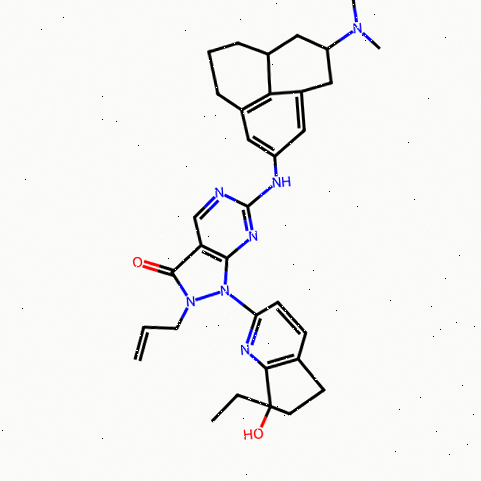 C=CCn1c(=O)c2cnc(Nc3cc4c5c(c3)CC(N(C)C)CC5CCC4)nc2n1-c1ccc2c(n1)C(O)(CC)CC2